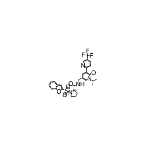 CC(C)n1cc(CNC(=O)[C@@H]2CCCN2S(=O)(=O)c2cc3ccccc3o2)cc(-c2ccc(C(F)(F)F)cn2)c1=O